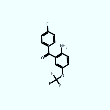 Nc1ccc(OC(F)(F)F)cc1C(=O)c1ccc(F)cc1